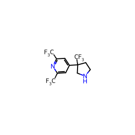 FC(F)(F)c1cc(C2(C(F)(F)F)CCNC2)cc(C(F)(F)F)n1